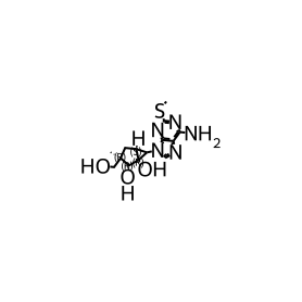 CSc1nc(N)c2ncn(C3[C@@H]4C[C@](C)(CO)[C@@H](O)[C@]34O)c2n1